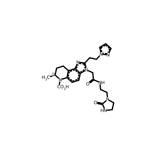 C[C@H]1CCc2c(ccc3c2nc(CCn2cccn2)n3CC(=O)NCCN2CCNC2=O)N1C(=O)O